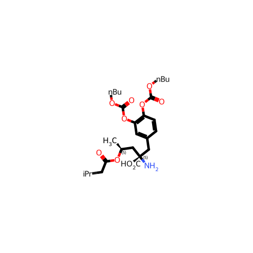 CCCCOC(=O)Oc1ccc(C[C@](N)(C[C@H](C)OC(=O)CC(C)C)C(=O)O)cc1OC(=O)OCCCC